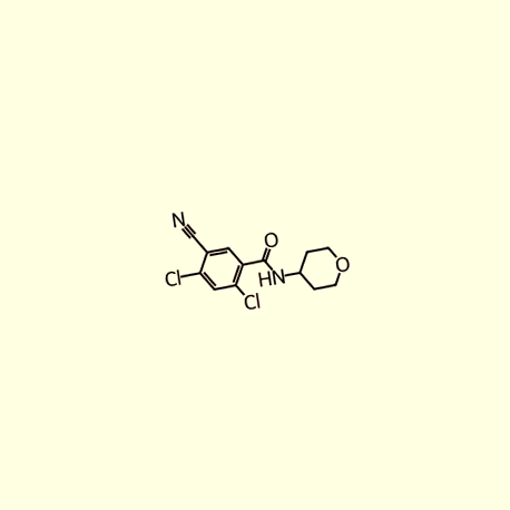 N#Cc1cc(C(=O)NC2CCOCC2)c(Cl)cc1Cl